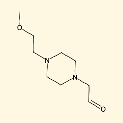 COCCN1CCN(CC=O)CC1